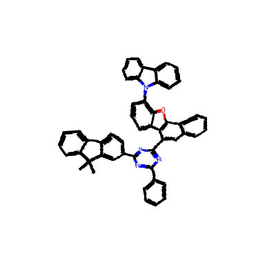 CC1(C)c2ccccc2-c2ccc(-c3nc(-c4ccccc4)nc(-c4cc5ccccc5c5oc6c(-n7c8ccccc8c8ccccc87)cccc6c45)n3)cc21